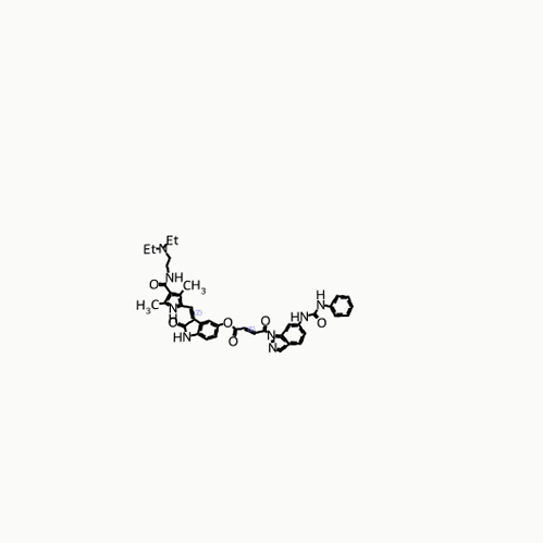 CCN(CC)CCNC(=O)c1c(C)[nH]c(/C=C2\C(=O)Nc3ccc(OC(=O)/C=C/C(=O)n4ncc5ccc(NC(=O)Nc6ccccc6)cc54)cc32)c1C